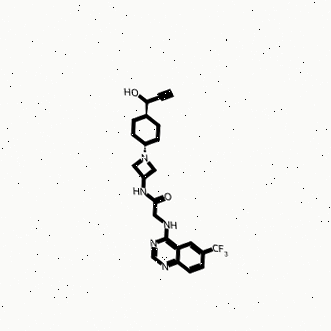 C#CC(O)[C@H]1CC[C@H](N2CC(NC(=O)CNc3ncnc4ccc(C(F)(F)F)cc34)C2)CC1